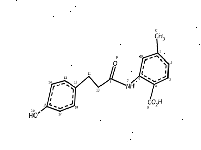 Cc1ccc(C(=O)O)c(NC(=O)CCc2ccc(O)cc2)c1